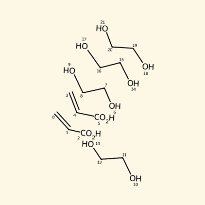 C=CC(=O)O.C=CC(=O)O.OCCO.OCCO.OCCO.OCCO